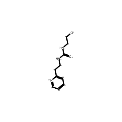 O=C(NCCCl)NCCc1ccccn1